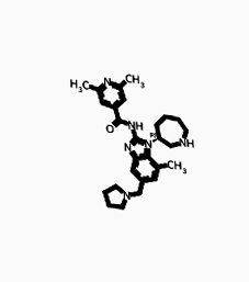 Cc1cc(C(=O)Nc2nc3cc(CN4CCCC4)cc(C)c3n2[C@@H]2CCCCNC2)cc(C)n1